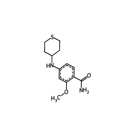 COc1cc(NC2CCSCC2)ccc1C(N)=O